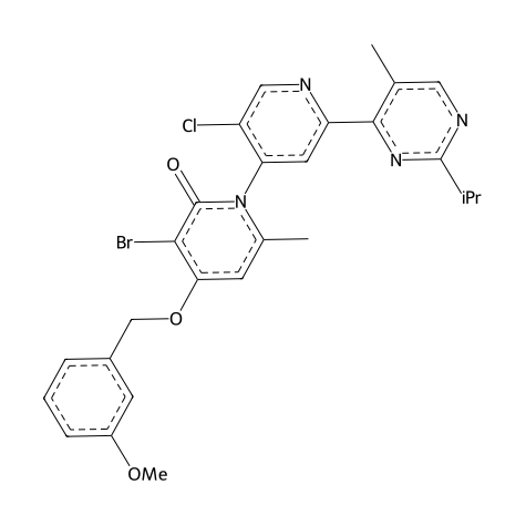 COc1cccc(COc2cc(C)n(-c3cc(-c4nc(C(C)C)ncc4C)ncc3Cl)c(=O)c2Br)c1